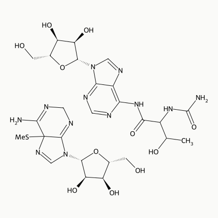 CC(O)C(NC(N)=O)C(=O)Nc1ncnc2c1ncn2[C@@H]1O[C@H](CO)[C@@H](O)[C@H]1O.CSC12N=CN([C@@H]3O[C@H](CO)[C@@H](O)[C@H]3O)C1=NCN=C2N